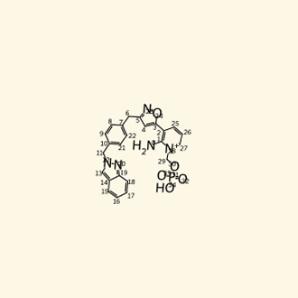 Nc1c(-c2cc(Cc3ccc(Cn4cc5ccccc5n4)cc3)no2)ccc[n+]1COP(=O)([O-])O